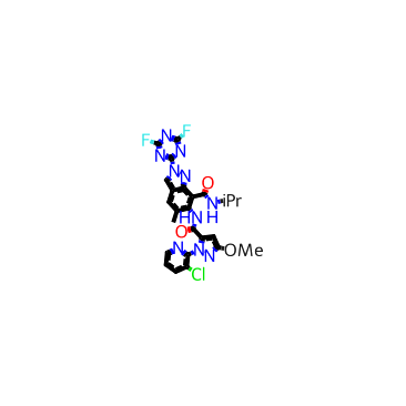 COc1cc(C(=O)Nc2c(C)cc3cn(-c4nc(F)nc(F)n4)nc3c2C(=O)NC(C)C)n(-c2ncccc2Cl)n1